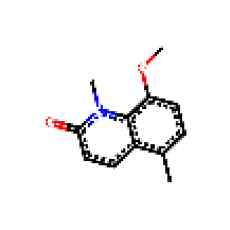 COc1ccc(C)c2ccc(=O)n(C)c12